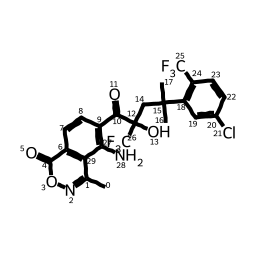 Cc1noc(=O)c2ccc(C(=O)C(O)(CC(C)(C)c3cc(Cl)ccc3C(F)(F)F)C(F)(F)F)c(N)c12